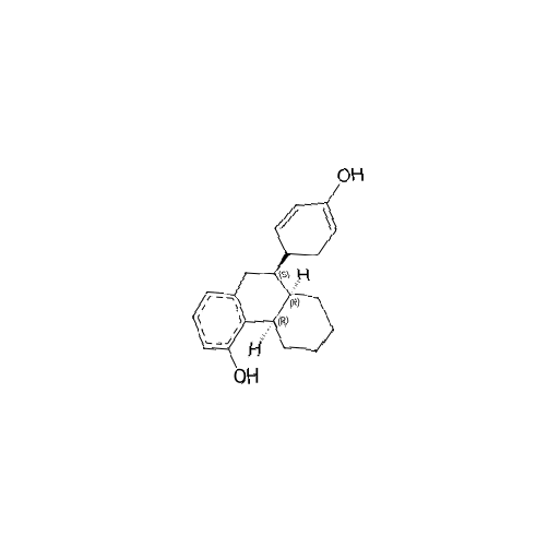 OC1=CCC([C@@H]2Cc3cccc(O)c3[C@@H]3CCCC[C@@H]32)C=C1